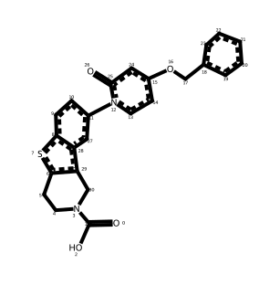 O=C(O)N1CCc2sc3ccc(-n4ccc(OCc5ccccc5)cc4=O)cc3c2C1